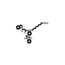 CCCCCCCCCCCCCCCCCCOc1ccc(S(=O)(=O)Nc2ccccc2Cl)cc1NC(=O)CC(=O)N1CCc2ccccc21